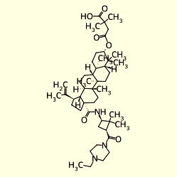 C=C(C)[C@@H]1CC[C@]2(C(=O)N[C@@H]3C[C@H](C(=O)N4CCN(CC)CC4)C3(C)C)CC[C@]3(C)[C@H](CC[C@@H]4[C@@]5(C)CC[C@H](OC(=O)CC(C)(C)C(=O)O)C(C)(C)[C@@H]5CC[C@]43C)[C@@H]12